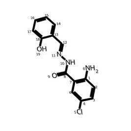 Nc1ccc(Cl)cc1C(=O)NN=Cc1ccccc1O